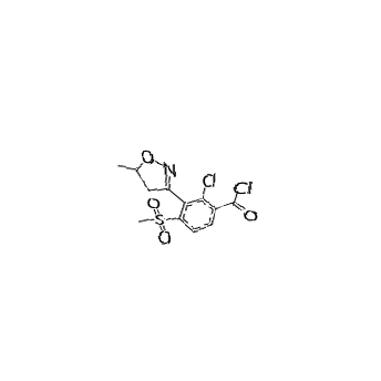 CC1CC(c2c(S(C)(=O)=O)ccc(C(=O)Cl)c2Cl)=NO1